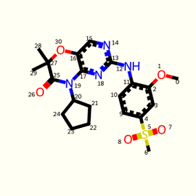 COc1cc(S(C)(=O)=O)ccc1Nc1ncc2c(n1)N(C1CCCC1)C(=O)C(C)(C)O2